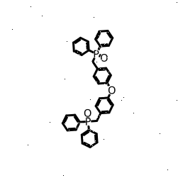 O=P(Cc1ccc(Oc2ccc(CP(=O)(c3ccccc3)c3ccccc3)cc2)cc1)(c1ccccc1)c1ccccc1